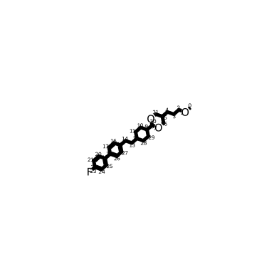 COCCCC1COC(C2CCC(CCc3ccc(-c4ccc(F)cc4)cc3)CC2)OC1